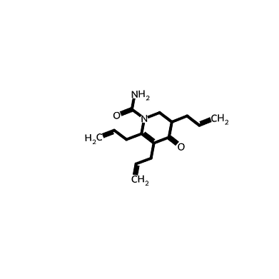 C=CCC1=C(CC=C)N(C(N)=O)CC(CC=C)C1=O